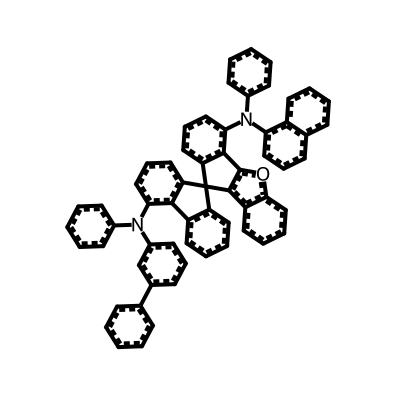 c1ccc(-c2cccc(N(c3ccccc3)c3cccc4c3-c3ccccc3C43c4cccc(N(c5ccccc5)c5cccc6ccccc56)c4-c4oc5ccccc5c43)c2)cc1